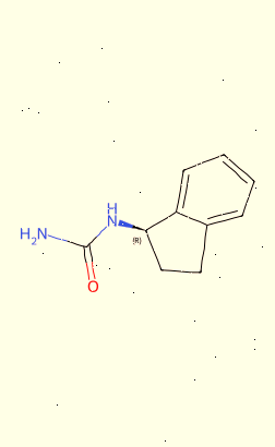 NC(=O)N[C@@H]1CCc2ccccc21